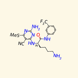 CSc1nc(N)nc(N[C@H](CCCCN)C(=O)Nc2cccc(C(F)(F)F)c2)c1C#N